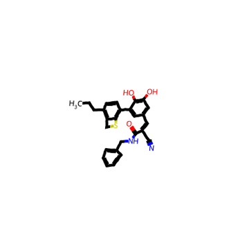 CCCc1ccc(-c2cc(C=C(C#N)C(=O)NCc3ccccc3)cc(O)c2O)c2c1CS2